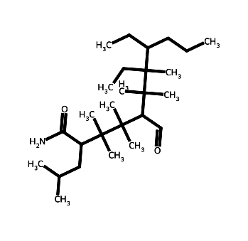 CCCC(CC)C(C)(CC)C(C)(C)C(C=O)C(C)(C)C(C)(C)C(CC(C)C)C(N)=O